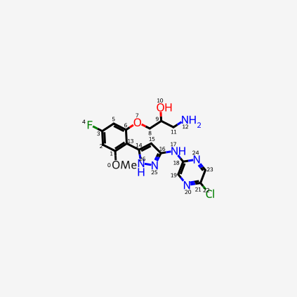 COc1cc(F)cc(OCC(O)CN)c1-c1cc(Nc2cnc(Cl)cn2)n[nH]1